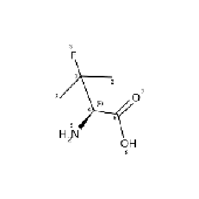 CC(C)(F)[C@H](N)C(=O)O